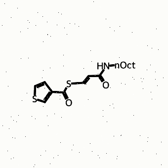 CCCCCCCCNC(=O)C=CSC(=O)c1ccsc1